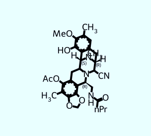 CCCC(=O)NC[C@H]1c2c(c(OC(C)=O)c(C)c3c2OCO3)CC2[C@@H]3c4c(cc(C)c(OC)c4O)C[C@H](C(C#N)N21)N3C